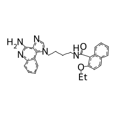 CCOc1ccc2ccccc2c1C(=O)NCCCCn1cnc2c(N)nc3ccccc3c21